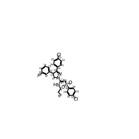 O=S(=O)(/N=C(\NCCF)N1CC(c2cccc(F)c2)C(c2ccc(Cl)cc2)=N1)c1ccc(Cl)cc1